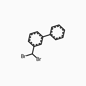 BrC(Br)c1cccc(-c2ccccc2)c1